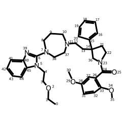 CCOCCn1c(N2CCCN(CCC3(c4ccccc4)CCN(C(=O)c4cc(OC)ccc4OC)C3)CC2)nc2ccccc21